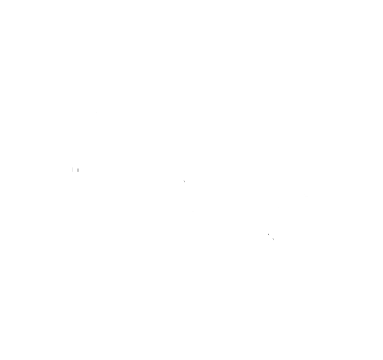 CCCC(CCC)CCNC(=O)c1cnc(Br)s1